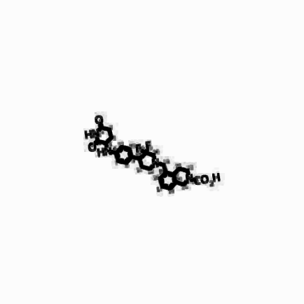 O=C1CCC(Nc2ccc(C3CCN(Cc4cccc5c4CCN(C(=O)O)C5)CC3(F)F)cc2)C(=O)N1